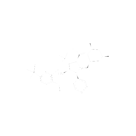 COc1ccc(C(C)(C)C)cc1CN[C@H]1[C@H](C(C)(C)C)[C@@H](C(=O)O)N(C(=O)[C@@H]2C[C@H](C)C[C@H](C)C2)[C@H]1c1ccccc1